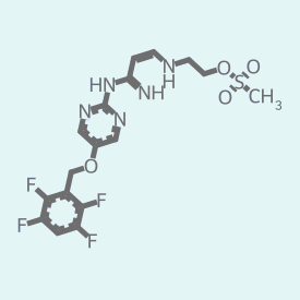 CS(=O)(=O)OCCN/C=C\C(=N)Nc1ncc(OCc2c(F)c(F)cc(F)c2F)cn1